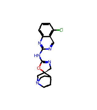 Clc1cccc2nc(NC3=NC[C@@]4(CN5CCC4CC5)O3)ncc12